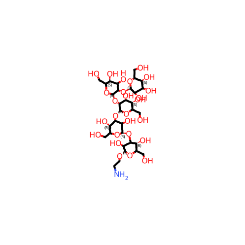 NCCO[C@H]1OC(CO)[C@@H](O)C(O[C@H]2OC(CO)[C@@H](O)C(O[C@H]3OC(CO)[C@@H](O)C(O)C3O[C@H]3OC(CO)[C@@H](O)C(O)C3O[C@H]3OC(CO)[C@@H](O)C(O)C3O)C2O)C1O